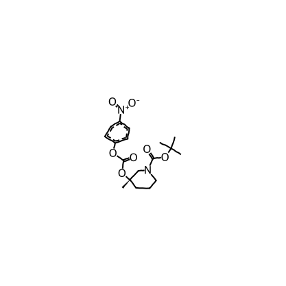 CC(C)(C)OC(=O)N1CCC[C@](C)(OC(=O)Oc2ccc([N+](=O)[O-])cc2)C1